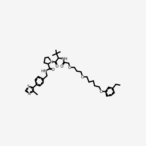 CCc1cccc(OCCCCCOCCCOCC(=O)NC(C(=O)N2CCCC2C(=O)NCc2ccc(-c3scnc3C)cc2)C(C)(C)C)c1